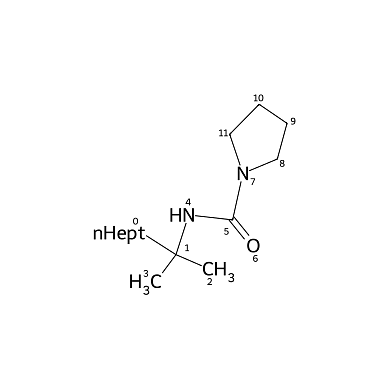 CCCCCCCC(C)(C)NC(=O)N1CCCC1